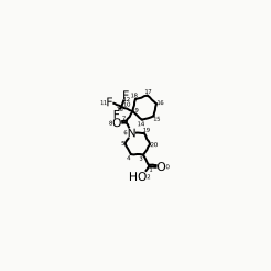 O=C(O)C1CCN(C(=O)C2(C(F)(F)F)CCCCC2)CC1